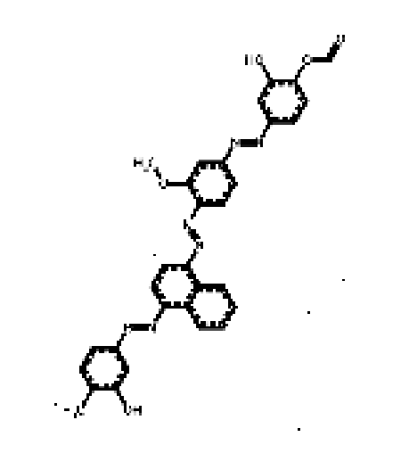 COc1cc(N=Nc2ccc(OC=O)c(O)c2)ccc1N=Nc1ccc(N=Nc2ccc(C)c(O)c2)c2ccccc12